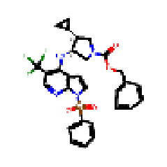 O=C(OCc1ccccc1)N1C[C@H](Nc2c(C(F)(F)F)cnc3c2ccn3S(=O)(=O)c2ccccc2)[C@H](C2CC2)C1